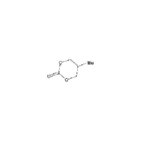 CC(C)(C)C1COC(=O)OC1